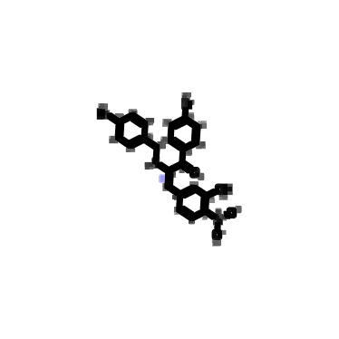 O=C(/C(=C\c1ccc([N+](=O)[O-])c(O)c1)SCc1ccc(Br)cc1)c1ccc(Br)cc1